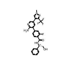 Cn1cc(-c2cnc(N)c(-c3ccc(C(=O)N[C@H](CO)c4ccccc4)c(F)c3)c2)c(C(F)(F)F)n1